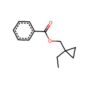 CCC1(COC(=O)c2ccccc2)CC1